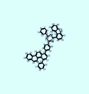 c1ccc(-c2nc(-c3ccc(-c4ccc(-c5ccccc5)c5c4ccc4c6ccccc6ccc45)cc3)nc(-c3cccc4oc5ccccc5c34)n2)cc1